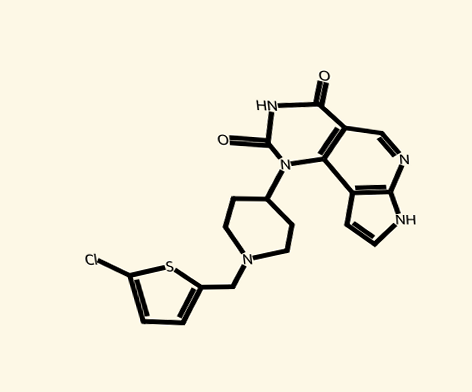 O=c1[nH]c(=O)n(C2CCN(Cc3ccc(Cl)s3)CC2)c2c1cnc1[nH]ccc12